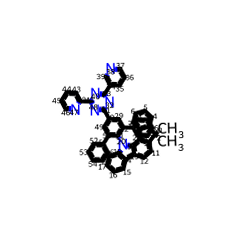 CC1(C)c2ccccc2-c2c1ccc1c3ccccc3n(-c3c(-c4ccccc4)cc(-c4nc(-c5cccnc5)nc(-c5ccccn5)n4)cc3-c3ccccc3)c21